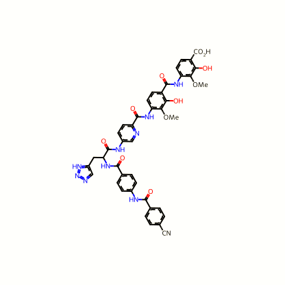 COc1c(NC(=O)c2ccc(NC(=O)c3ccc(NC(=O)C(Cc4cnn[nH]4)NC(=O)c4ccc(NC(=O)c5ccc(C#N)cc5)cc4)cn3)c(OC)c2O)ccc(C(=O)O)c1O